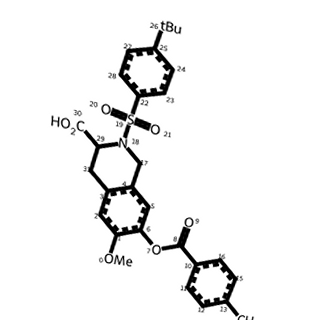 COc1cc2c(cc1OC(=O)c1ccc(C)cc1)CN(S(=O)(=O)c1ccc(C(C)(C)C)cc1)C(C(=O)O)C2